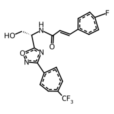 O=C(/C=C/c1ccc(F)cc1)N[C@@H](CO)c1nc(-c2ccc(C(F)(F)F)cc2)no1